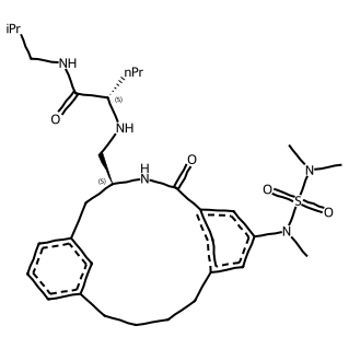 CCC[C@H](NC[C@@H]1Cc2cccc(c2)CCCCc2cc(cc(N(C)S(=O)(=O)N(C)C)c2)C(=O)N1)C(=O)NCC(C)C